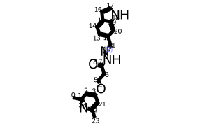 Cc1cc(OCCC(=O)N/N=C/c2ccc3cc[nH]c3c2)cc(C)n1